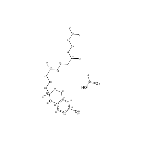 CC(=O)O.CC(C)CCC[C@@H](C)CCC[C@@H](C)CCCC1(C)CCc2cc(O)ccc2O1